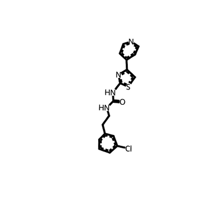 O=C(NCCc1cccc(Cl)c1)Nc1nc(-c2ccncc2)cs1